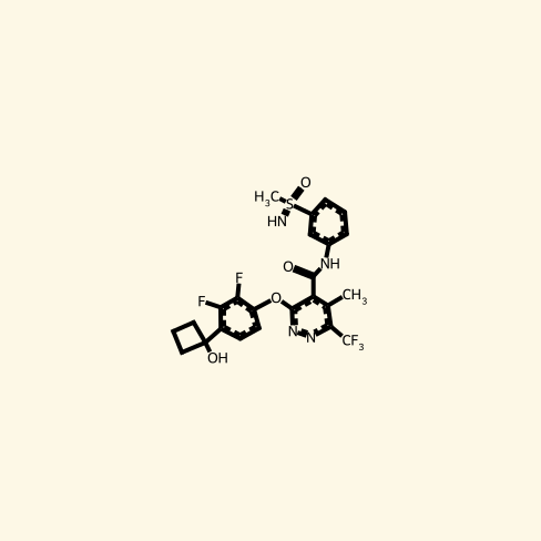 Cc1c(C(F)(F)F)nnc(Oc2ccc(C3(O)CCC3)c(F)c2F)c1C(=O)Nc1cccc(S(C)(=N)=O)c1